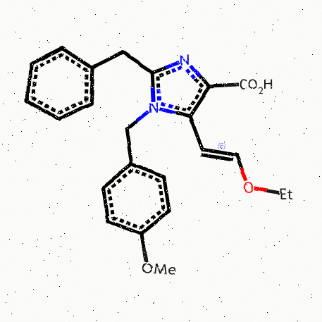 CCO/C=C/c1c(C(=O)O)nc(Cc2ccccc2)n1Cc1ccc(OC)cc1